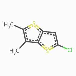 Cc1sc2cc(Cl)sc2c1C